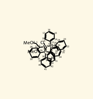 COC[CH](OC)[W]([Cl])([PH](c1ccccc1)(c1ccccc1)c1ccccc1)[PH](c1ccccc1)(c1ccccc1)c1ccccc1